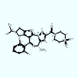 C[C@@H]1N=C(c2c(F)cccc2F)c2c(sc3c2C[C@@H](C(F)F)C3)-n2nc(C(=O)N3CCS(=O)(=O)CC3)nc21